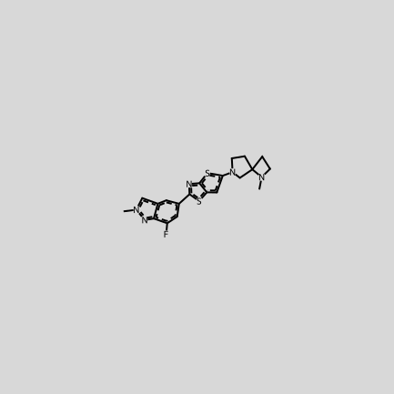 CN1CCC12CCN(c1cc3sc(-c4cc(F)c5nn(C)cc5c4)nc3s1)C2